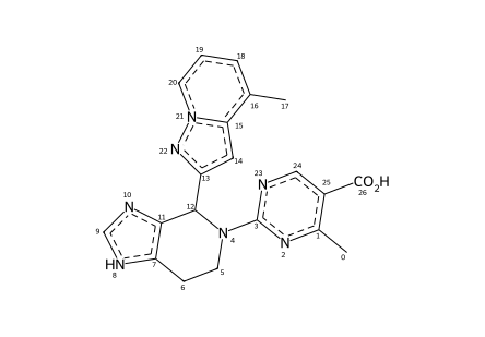 Cc1nc(N2CCc3[nH]cnc3C2c2cc3c(C)cccn3n2)ncc1C(=O)O